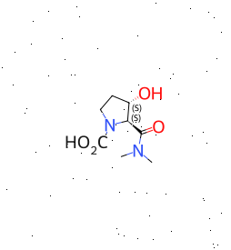 CN(C)C(=O)[C@@H]1[C@@H](O)CCN1C(=O)O